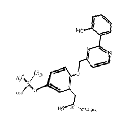 CCOC(=O)[C@H](O)Cc1cc(O[Si](C)(C)C(C)(C)C)ccc1OCc1ccnc(-c2ccccc2C#N)n1